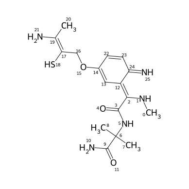 CN/C(C(=O)NC(C)(C)C(N)=O)=C1/C=C(OC/C(S)=C(\C)N)C=CC1=N